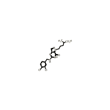 CC(CCCn1ncc2nc(NCc3ccc(Cl)c(Cl)c3)[nH]c(=O)c21)C(=O)O